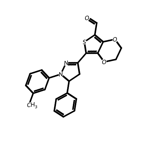 Cc1cccc(N2N=C(c3sc(C=O)c4c3OCCO4)CC2c2ccccc2)c1